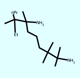 CCCC(C)(CC)C(C)(N)CCCC(C)(C)C(C)(C)N